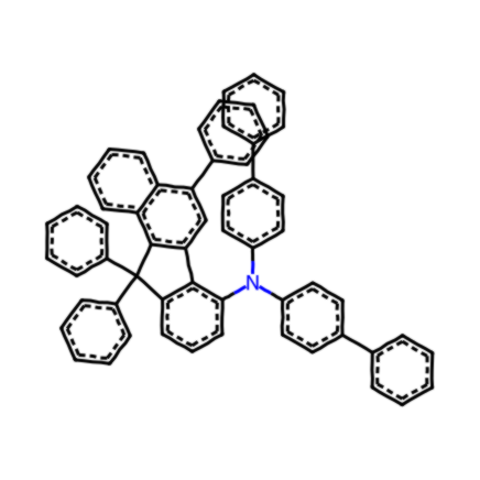 c1ccc(-c2ccc(N(c3ccc(-c4ccccc4)cc3)c3cccc4c3-c3cc(-c5ccccc5)c5ccccc5c3C4(c3ccccc3)c3ccccc3)cc2)cc1